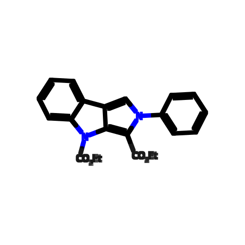 CCOC(=O)c1c2c(cn1-c1ccccc1)c1ccccc1n2C(=O)OCC